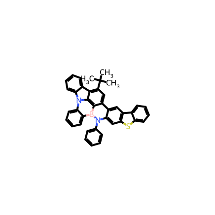 CC(C)(C)c1cc2c3c4c1c1ccccc1n4-c1ccccc1B3N(c1ccccc1)c1cc3sc4ccccc4c3cc1-2